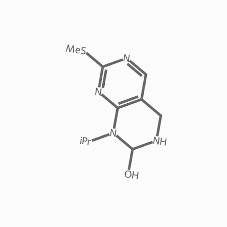 CSc1ncc2c(n1)N(C(C)C)C(O)NC2